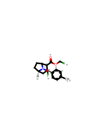 Cc1ccc([C@H]2C[C@H]3CCC(C2C(=O)OCF)N3CF)cc1